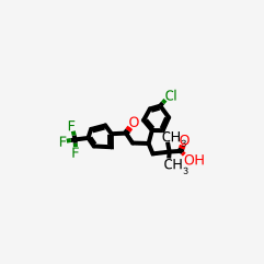 CC(C)(CC(CC(=O)c1ccc(C(F)(F)F)cc1)c1ccc(Cl)cc1)C(=O)O